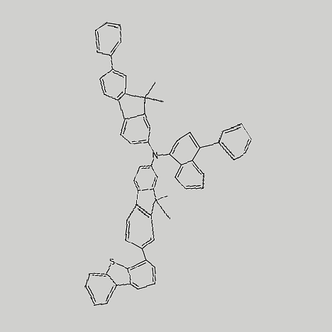 CC1(C)c2cc(-c3ccccc3)ccc2-c2ccc(N(c3ccc4c(c3)C(C)(C)c3cc(-c5cccc6c5sc5ccccc56)ccc3-4)c3ccc(-c4ccccc4)c4ccccc34)cc21